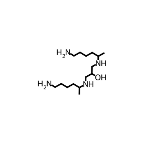 CC(CCCCN)NCC(O)CNC(C)CCCCN